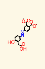 COC(=O)c1ccc(/N=N/c2ccc(O)c(CC(=O)O)c2)cc1C(=O)OC